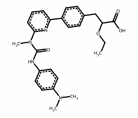 CCOC(Cc1ccc(-c2cccc(N(C)C(=O)Nc3ccc(N(C)C)cc3)n2)cc1)C(=O)O